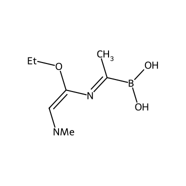 CCOC(=C/NC)/N=C(\C)B(O)O